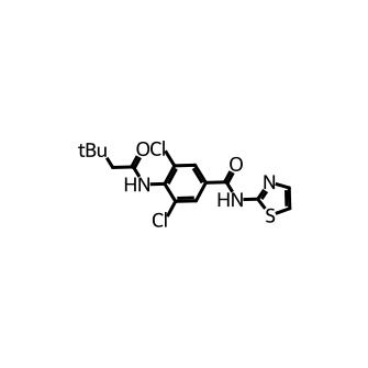 CC(C)(C)CC(=O)Nc1c(Cl)cc(C(=O)Nc2nccs2)cc1Cl